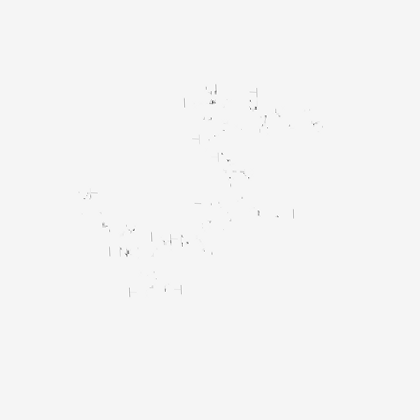 CCOCC(C)(COC(=O)NCC1(C)CC(NC(=O)OCCO)CC(C)(C)C1)COC(=O)NCC1(C)CC(NC(=O)OCCO)CC(C)(C)C1